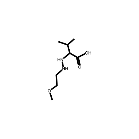 COCCNNC(C(=O)O)C(C)C